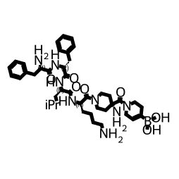 CC(C)C[C@@H](NC(=O)[C@@H](Cc1ccccc1)NC(=O)[C@H](N)Cc1ccccc1)C(=O)N[C@H](CCCCN)C(=O)N1CCC(N)(C(=O)N2CC=C(B(O)O)CC2)CC1